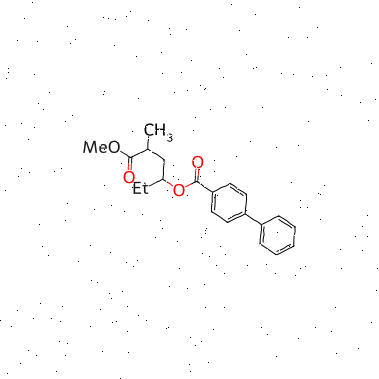 CCC(CC(C)C(=O)OC)OC(=O)c1ccc(-c2ccccc2)cc1